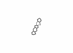 c1ccc2c(c1)Cc1cc3cc4ccccc4cc3cc1S2